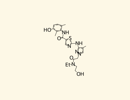 CCN(CCO)C(=O)Cn1cc(C)c(Nc2ncc(C(=O)Nc3c(C)ccc(O)c3C)s2)n1